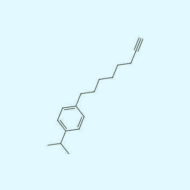 [C]#CCCCCCCc1ccc(C(C)C)cc1